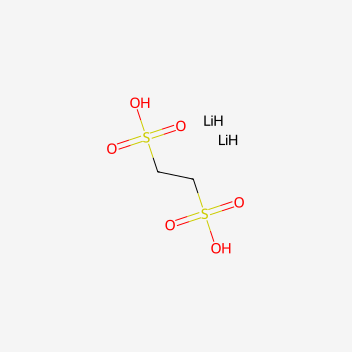 O=S(=O)(O)CCS(=O)(=O)O.[LiH].[LiH]